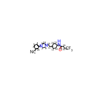 N#Cc1cccc(N2CCN(CCC3CCC(NC(=O)CCC(F)(F)F)CC3)CC2)c1